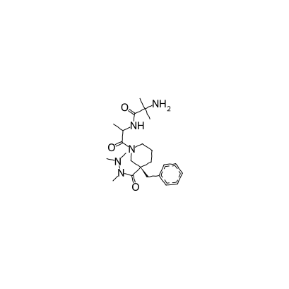 CC(NC(=O)C(C)(C)N)C(=O)N1CCC[C@](Cc2ccccc2)(C(=O)N(C)N(C)C)C1